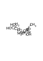 C=C1/C(=C\C=C2/CCC[C@]3(C)[C@@H](C(C)(C)/C=C/[C@H](O)C4(c5ncc(CCC)o5)CC4)CC[C@@H]23)C[C@@H](O)C[C@@H]1O